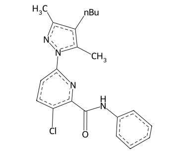 CCCCc1c(C)nn(-c2ccc(Cl)c(C(=O)Nc3ccccc3)n2)c1C